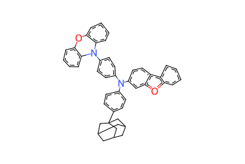 c1ccc2c(c1)Oc1ccccc1N2c1ccc(N(c2ccc(C34CC5CC(CC(C5)C3)C4)cc2)c2ccc3c(c2)oc2ccccc23)cc1